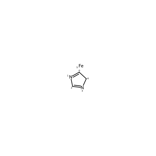 C1=NC=NC1.[Fe]